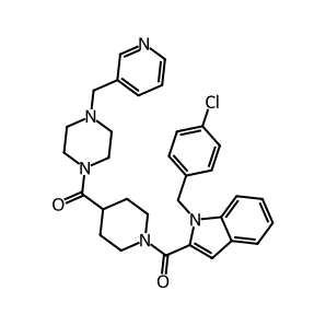 O=C(c1cc2ccccc2n1Cc1ccc(Cl)cc1)N1CCC(C(=O)N2CCN(Cc3cccnc3)CC2)CC1